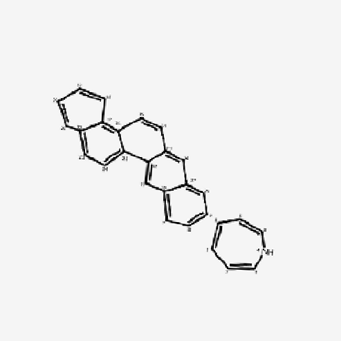 C1=CC=CNC=C1.c1ccc2cc3c(ccc4c5ccccc5ccc34)cc2c1